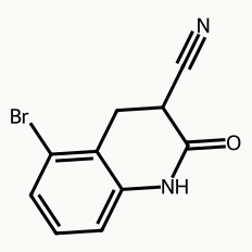 N#CC1Cc2c(Br)cccc2NC1=O